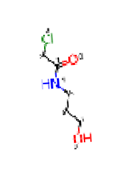 O=C(CCl)NCCCO